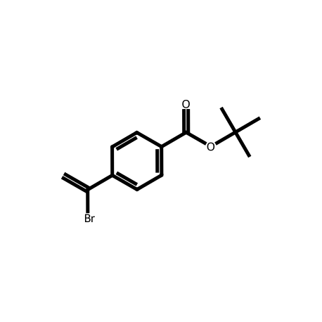 C=C(Br)c1ccc(C(=O)OC(C)(C)C)cc1